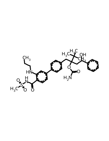 CCCNc1cc(-c2ccc(CC(C[C@@H](O)c3ccccc3)(OC(N)=O)C(C)(C)C)cc2)ccc1C(=O)NS(C)(=O)=O